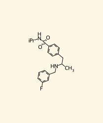 CC(C)NS(=O)(=O)c1ccc(CC(C)NCc2cccc(F)c2)cc1